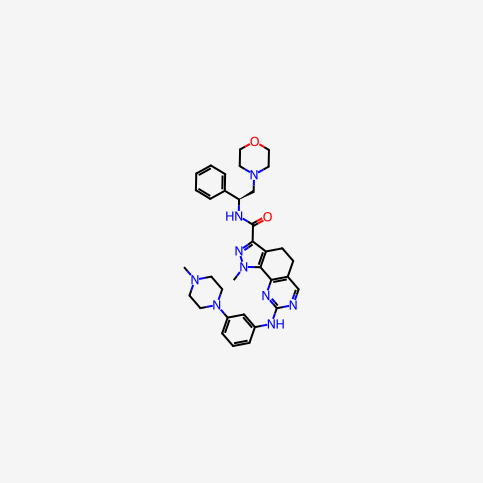 CN1CCN(c2cccc(Nc3ncc4c(n3)-c3c(c(C(=O)N[C@H](CN5CCOCC5)c5ccccc5)nn3C)CC4)c2)CC1